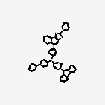 c1ccc(-c2ccc(N(c3ccc(-c4cc5nc(-c6ccccc6)oc5c5ccccc45)cc3)c3ccc(-n4c5ccccc5c5ccccc54)cc3)cc2)cc1